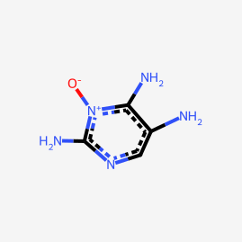 Nc1cnc(N)[n+]([O-])c1N